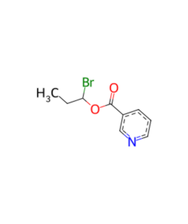 CCC(Br)OC(=O)c1cccnc1